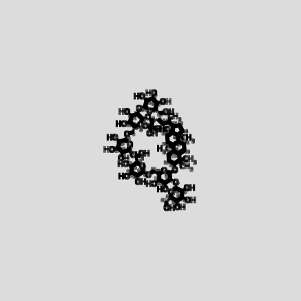 C[C@H](CC[C@@H](O[C@@H]1O[C@H](CO[C@@H]2O[C@H](C)[C@@H](O)[C@H](O)[C@H]2O)[C@@H](O)[C@H](O)[C@H]1O[C@H]1O[C@@H](CO)[C@H](O)[C@@H](O)[C@@H]1O)C(C)(C)O)C1CC[C@@]2(C)C3CC=C4C(CC[C@H](O[C@@H]5O[C@H](CO[C@@H]6O[C@H](CO)[C@@H](O)[C@H](O)[C@H]6O)[C@@H](O)[C@H](O)[C@H]5O[C@H]5O[C@@H](CO)[C@H](O)[C@@H](O)[C@@H]5O)C4(C)C)[C@]3(C)CC[C@]12C